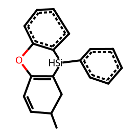 CC1C=CC2=C(C1)[SiH](c1ccccc1)c1ccccc1O2